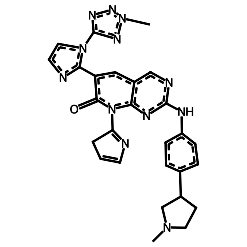 CN1CCC(c2ccc(Nc3ncc4cc(-c5nccn5-c5nnn(C)n5)c(=O)n(C5=NC=CC5)c4n3)cc2)C1